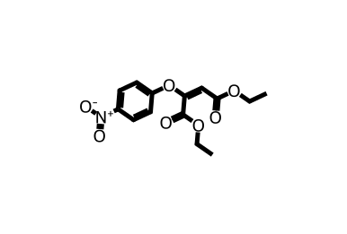 CCOC(=O)C=C(Oc1ccc([N+](=O)[O-])cc1)C(=O)OCC